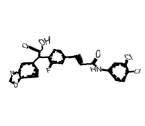 O=C(C=Cc1ccc(C(C(=O)O)c2ccc3ocnc3c2)c(F)c1)Nc1ccc(Cl)c(Cl)c1